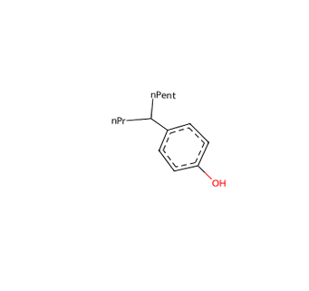 CCCCCC(CCC)c1ccc(O)cc1